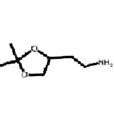 CC1(C)OCC(CCN)O1